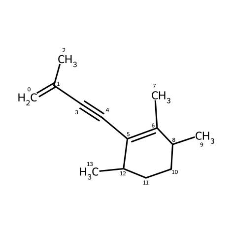 C=C(C)C#CC1=C(C)C(C)CCC1C